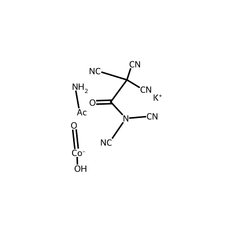 CC(N)=O.N#CN(C#N)C(=O)C(C#N)(C#N)C#N.[K+].[O]=[Co-][OH]